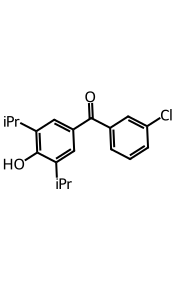 CC(C)c1cc(C(=O)c2cccc(Cl)c2)cc(C(C)C)c1O